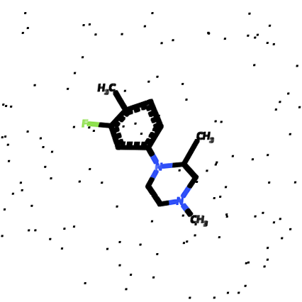 Cc1ccc(N2CCN(C)CC2C)cc1F